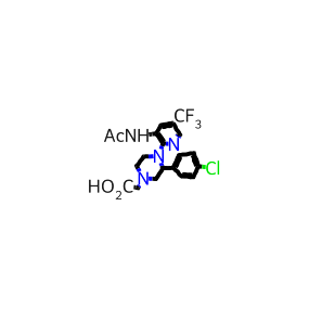 CC(=O)Nc1cc(C(F)(F)F)cnc1N1CCN(CC(=O)O)CC1c1ccc(Cl)cc1